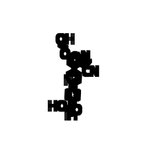 CC(C)[C@@H](O)C(=O)N1CCN(c2ccc(-c3cc(OCCO)cn4ncc(C#N)c34)cn2)CC1